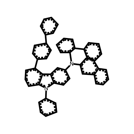 c1ccc(-c2ccc(-c3cccc4c3c3cc(N(c5ccc6ccccc6c5)c5ccccc5-c5ccccc5)ccc3n4-c3ccccc3)cc2)cc1